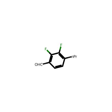 CCCc1ccc(C=O)c(F)c1F